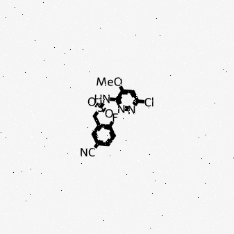 COc1cc(Cl)nnc1NS(=O)(=O)Cc1cc(C#N)ccc1F